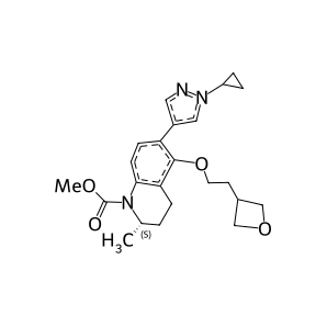 COC(=O)N1c2ccc(-c3cnn(C4CC4)c3)c(OCCC3COC3)c2CC[C@@H]1C